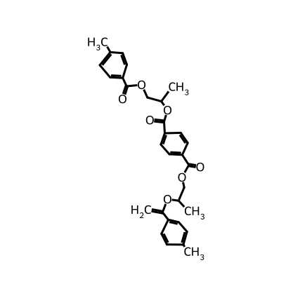 C=C(OC(C)COC(=O)c1ccc(C(=O)OC(C)COC(=O)c2ccc(C)cc2)cc1)c1ccc(C)cc1